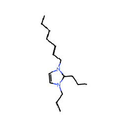 CCCCCCCN1C=CN(CCC)C1CCC